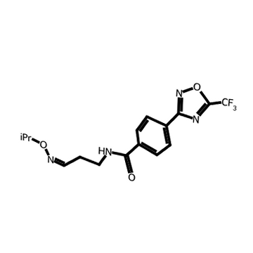 CC(C)O/N=C\CCNC(=O)c1ccc(-c2noc(C(F)(F)F)n2)cc1